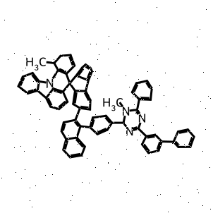 CC1CC=CC2=C1n1c3ccccc3c3cccc(c31)C21c2ccccc2-c2ccc(-c3ccc4ccccc4c3-c3ccc(C4N=C(c5cccc(-c6ccccc6)c5)N=C(c5ccccc5)N4C)cc3)cc21